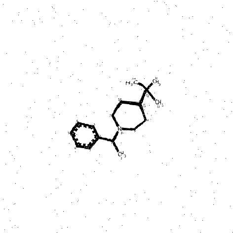 CC(c1ccccc1)N1CCC(C(C)(C)C)CC1